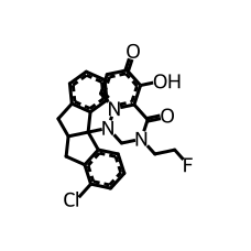 O=C1c2c(O)c(=O)ccn2N(C23c4ccccc4CC2Cc2c(Cl)cccc23)CN1CCF